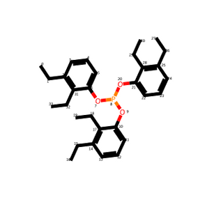 CCc1cccc(OP(Oc2cccc(CC)c2CC)Oc2cccc(CC)c2CC)c1CC